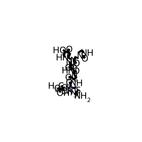 CC(C)(O/N=C(\C(=O)N[C@H]1CN(C(=O)NS(=O)(=O)n2nc(-c3cc(=O)c(O)c[nH]3)n(CCN3CCNC3=O)c2=O)C1=O)c1csc(N)n1)C(=O)O